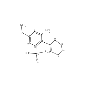 Cl.NCc1ccc(C2=CCCCC2)c(C(F)(F)F)c1